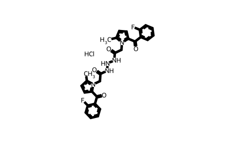 Cc1ccc(C(=O)c2ccccc2F)n1CC(=O)NNNC(=O)Cn1c(C)ccc1C(=O)c1ccccc1F.Cl